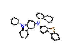 c1ccc(-n2c3ccccc3c3cc(N(c4ccc5c(c4)sc4ccccc45)c4cccc5ccccc45)ccc32)cc1